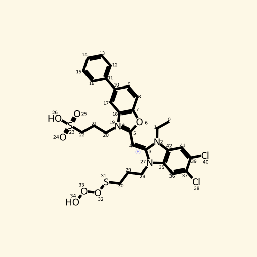 CCN1/C(=C\c2oc3ccc(-c4ccccc4)cc3[n+]2CCCS(=O)(=O)O)N(CCCSOOO)c2cc(Cl)c(Cl)cc21